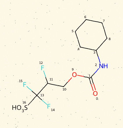 O=C(NC1CCCCC1)OCC(F)C(F)(F)S(=O)(=O)O